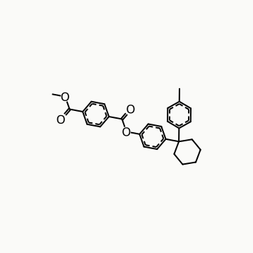 COC(=O)c1ccc(C(=O)Oc2ccc(C3(c4ccc(C)cc4)CCCCC3)cc2)cc1